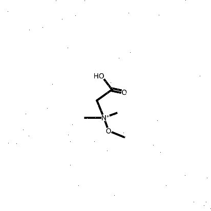 CO[N+](C)(C)CC(=O)O